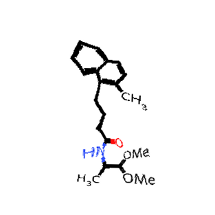 COC(OC)C(C)NC(=O)CCCc1c(C)ccc2ccccc12